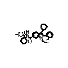 O=C(NC1(C(=O)O)CCCCC1)c1ccc2c(C3CCCCC3)c3n(c2c1)CCOc1ccccc1-3